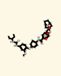 CCC(CC)NC(=O)Nc1ccc(Oc2ccc(NC(=O)c3ccc(OC4CC5CCC(C4)N5CCCOC)cc3)cc2)c(OC)c1